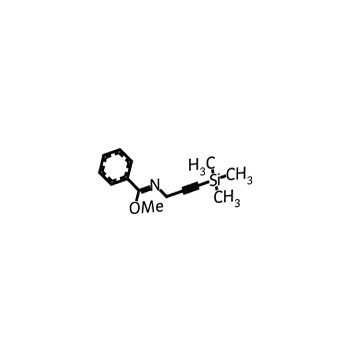 COC(=NCC#C[Si](C)(C)C)c1ccccc1